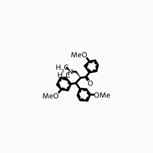 COc1cccc(C(=O)[C@H](CN(C)C)C(c2cccc(OC)c2)c2cccc(OC)c2)c1